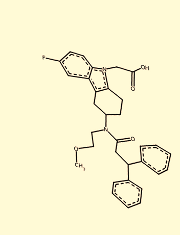 COCCN(C(=O)CC(c1ccccc1)c1ccccc1)C1CCc2c(c3cc(F)ccc3n2CC(=O)O)C1